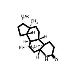 CC[C@H]1C[C@H]2NC(=O)CC[C@]2(C)[C@H]2CC[C@]3(C)[C@@H](OC(C)=O)CC[C@H]3[C@H]12